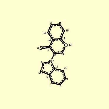 S=c1c(-n2cnc3ccccc32)coc2ccccc12